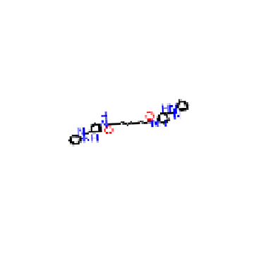 O=C(CCCCCCCCC(=O)Nc1ccc(-c2nc3ccccc3[nH]2)cc1)Nc1ccc(-c2nc3ccccc3[nH]2)cc1